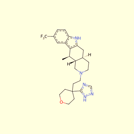 C[C@H]1c2c([nH]c3ccc(C(F)(F)F)cc23)C[C@H]2CCN(CCC3(c4ncn[nH]4)CCOCC3)C[C@@H]21